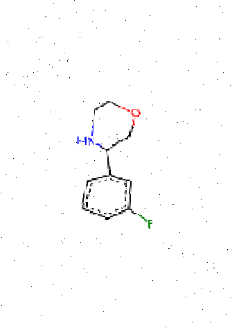 Fc1cccc([C@@H]2COCCN2)c1